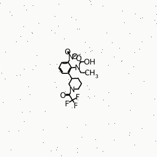 CCN(C(=O)O)c1c(C2CCCN(C(=O)C(F)(F)F)C2)cccc1[N+](=O)[O-]